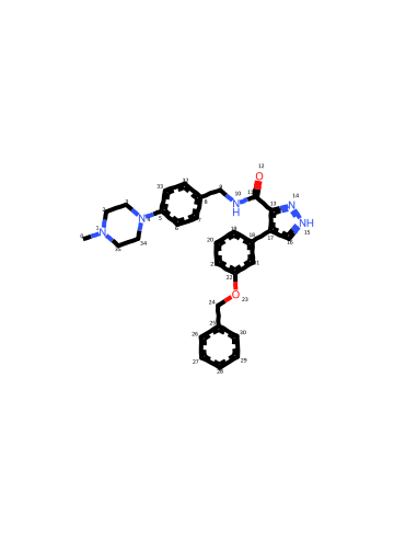 CN1CCN(c2ccc(CNC(=O)c3n[nH]cc3-c3cccc(OCc4ccccc4)c3)cc2)CC1